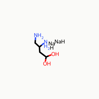 NCC(N)CC(O)O.[NaH].[NaH]